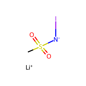 CS(=O)(=O)[N-]I.[Li+]